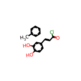 Cc1ccccc1.O=C(Cl)C=Cc1ccc(O)c(O)c1